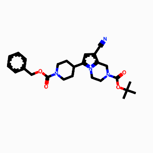 CC(C)(C)OC(=O)N1CCn2c(C3CCN(C(=O)OCc4ccccc4)CC3)cc(C#N)c2C1